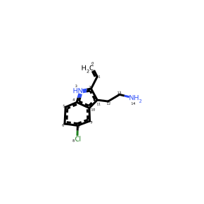 C=Cc1[nH]c2ccc(Cl)cc2c1CCN